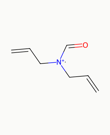 C=CC[N+](C=O)CC=C